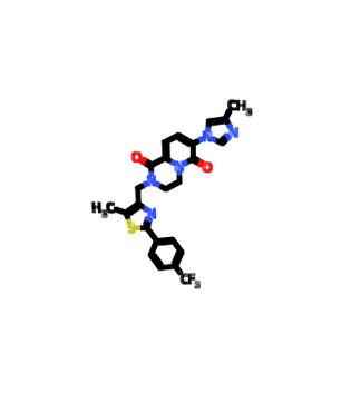 Cc1cn(-c2ccc3n(c2=O)CCN(Cc2nc(-c4ccc(C(F)(F)F)cc4)sc2C)C3=O)cn1